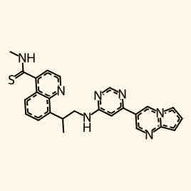 CNC(=S)c1ccnc2c(C(C)CNc3cc(-c4cnc5cccn5c4)ncn3)cccc12